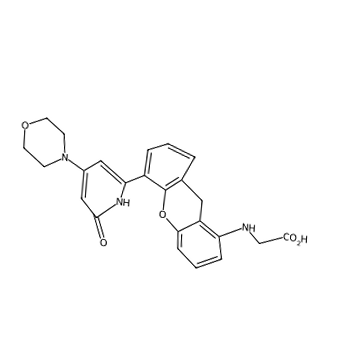 O=C(O)CNc1cccc2c1Cc1cccc(-c3cc(N4CCOCC4)cc(=O)[nH]3)c1O2